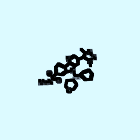 CNS(=O)(=O)c1ccc2c3ncc(-c4c(C)nnn4C)cc3n([C@H](c3ccccc3)C3CCOCC3)c2c1